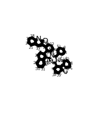 c1ccc(C2NC(c3c(-c4cccc5oc6nc7ccccc7cc6c45)ccc4ccccc34)NC(c3cccc4oc5ccccc5c34)N2)cc1